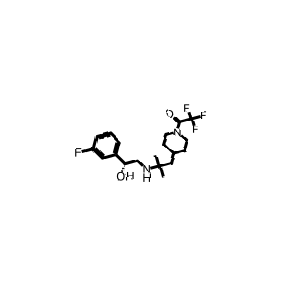 CC(C)(CC1CCN(C(=O)C(F)(F)F)CC1)NC[C@H](O)c1cccc(F)c1